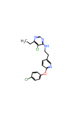 CCc1ncnc(NCCc2ccc(Oc3ccc(Cl)cc3)nc2)c1Cl